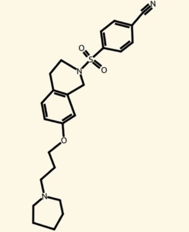 N#Cc1ccc(S(=O)(=O)N2CCc3ccc(OCCCN4CCCCC4)cc3C2)cc1